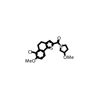 COc1ccc2c(c1Cl)CCc1cc(C(=O)N3CCC(OC)C3)sc1-2